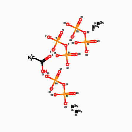 CC(=O)O.O=P([O-])([O-])OP(=O)([O-])[O-].O=P([O-])([O-])OP(=O)([O-])[O-].O=P([O-])([O-])OP(=O)([O-])[O-].[Bi+3].[Bi+3].[Bi+3].[Bi+3]